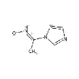 C/C(=[NH+]\[O-])n1cncn1